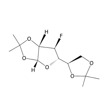 CC1(C)O[C@H]2O[C@@H]([C@H]3COC(C)(C)O3)[C@H](F)[C@H]2O1